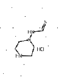 Cl.S=CNN1CCNCC1